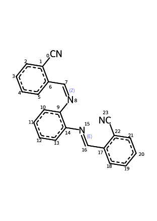 N#Cc1ccccc1/C=N\c1ccccc1/N=C/c1ccccc1C#N